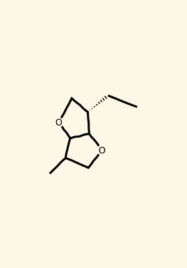 CC[C@H]1COC2C(C)COC21